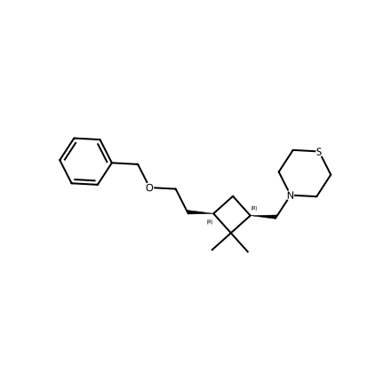 CC1(C)[C@@H](CCOCc2ccccc2)C[C@H]1CN1CCSCC1